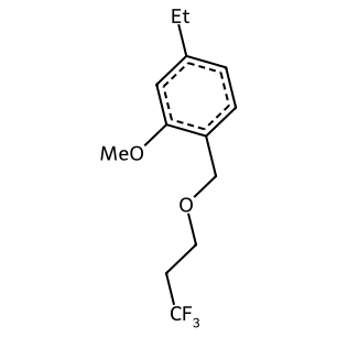 CCc1ccc(COCCC(F)(F)F)c(OC)c1